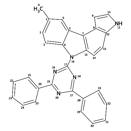 Cc1ccc2c(c1)c1c3cc[nH]c3ccc1n2-c1nc(-c2ccccc2)nc(-c2ccccc2)n1